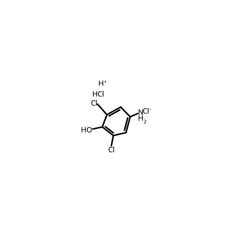 Cl.Nc1cc(Cl)c(O)c(Cl)c1.[Cl-].[H+]